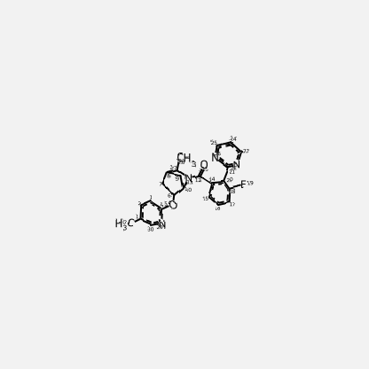 Cc1ccc(OC2CC3CC2N(C(=O)c2cccc(F)c2-c2ncccn2)C3C)nc1